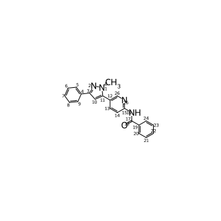 Cn1nc(-c2ccccc2)cc1-c1ccc(NC(=O)c2ccccc2)nc1